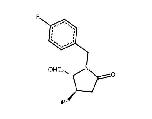 CC(C)[C@@H]1CC(=O)N(Cc2ccc(F)cc2)[C@H]1C=O